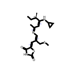 CC[C@@H](C)\C(=C/C(C)=N\C=C(/C=C1\SC(=O)NC1=O)CSC)NC1CC1